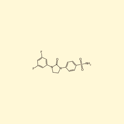 NS(=O)(=O)c1ccc(N2CCN(c3cc(F)cc(F)c3)C2=O)cc1